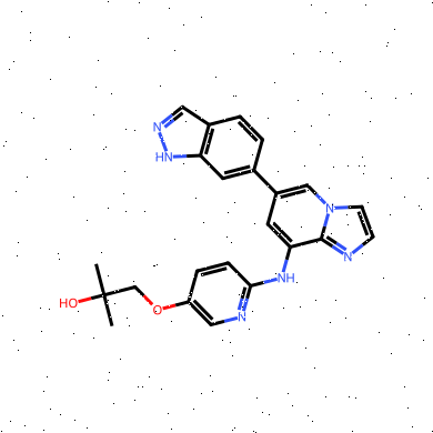 CC(C)(O)COc1ccc(Nc2cc(-c3ccc4cn[nH]c4c3)cn3ccnc23)nc1